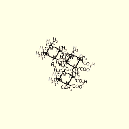 C=CC1=C(C)c2nc1cc1[nH]c(cc3nc(cc4[nH]c(c2C)c(C=C)c4C)C(C)=C3CCC(=O)[O-])c(CCC(=O)O)c1C.C=CC1=C(C)c2nc1cc1[nH]c(cc3nc(cc4[nH]c(c2C)c(C=C)c4C)C(C)=C3CCC(=O)[O-])c(CCC(=O)O)c1C.C=CC1=C(C)c2nc1cc1[nH]c(cc3nc(cc4[nH]c(c2C)c(C=C)c4C)C(C)=C3CCC(=O)[O-])c(CCC(=O)O)c1C.[Co+3]